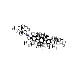 C=C(C)C(=O)O/C=C/Oc1c(C)c(C)c(-c2c(C)c(C)c(-c3c(C)c(C)c(OC(=O)C(=C)C)c(C)c3C)c(C)c2C)c(C)c1C